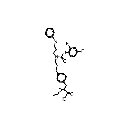 CCOC(Cc1ccc(OCCN(CCCSc2ccccc2)C(=O)Oc2ccc(F)cc2F)cc1)C(=O)O